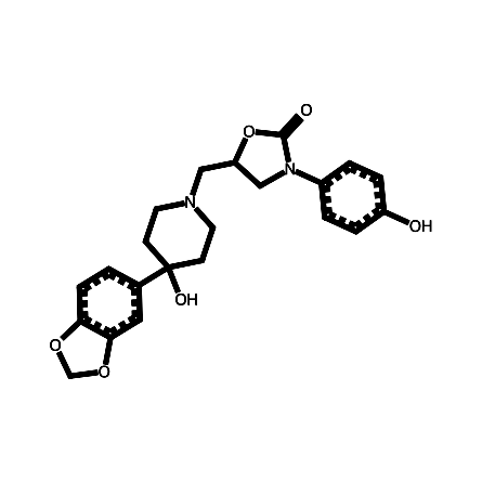 O=C1OC(CN2CCC(O)(c3ccc4c(c3)OCO4)CC2)CN1c1ccc(O)cc1